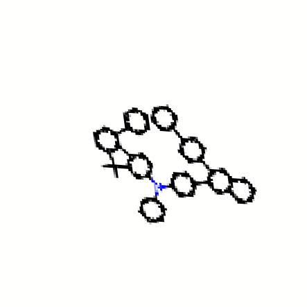 CC1(C)c2cc(N(c3ccccc3)c3ccc(-c4cc5ccccc5cc4-c4ccc(-c5ccccc5)cc4)cc3)ccc2-c2c(-c3ccccc3)cccc21